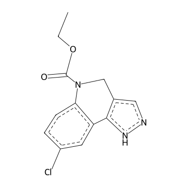 CCOC(=O)N1Cc2cn[nH]c2-c2cc(Cl)ccc21